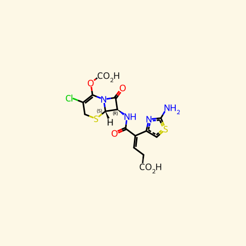 Nc1nc(C(=CCC(=O)O)C(=O)N[C@@H]2C(=O)N3C(OC(=O)O)=C(Cl)CS[C@@H]23)cs1